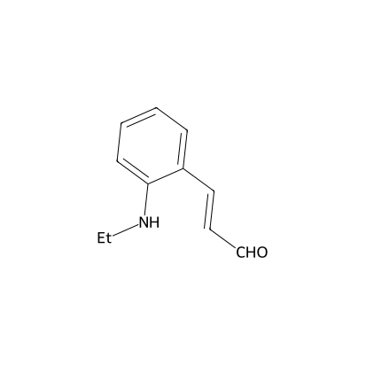 CCNc1ccccc1/C=C/C=O